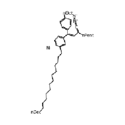 CCCCCCCCCCCCCCCCCCCCCCCc1cccc(C(=CC(=C=[N+]=[N-])CCCCC)c2ccc(CCCCCCCC)cc2)c1.[Ni]